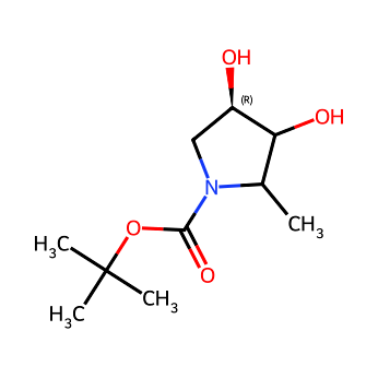 CC1C(O)[C@H](O)CN1C(=O)OC(C)(C)C